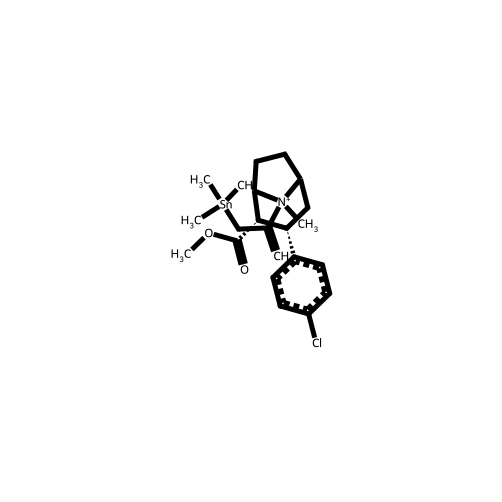 C=C([CH2][Sn]([CH3])([CH3])[CH3])[N+]1(C)C2CCC1[C@@H](C(=O)OC)[C@@H](c1ccc(Cl)cc1)C2